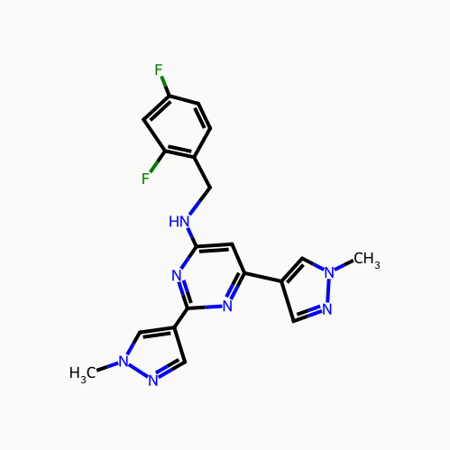 Cn1cc(-c2cc(NCc3ccc(F)cc3F)nc(-c3cnn(C)c3)n2)cn1